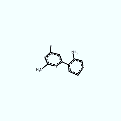 Cc1cc(-c2ccncc2N)nc(N)n1